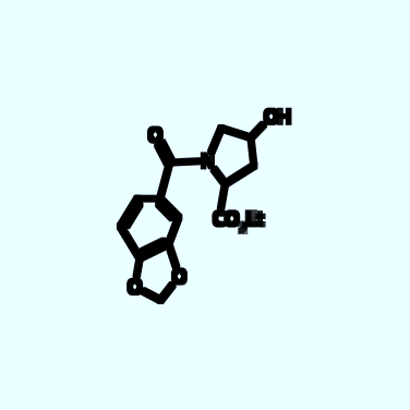 CCOC(=O)C1CC(O)CN1C(=O)c1ccc2c(c1)OCO2